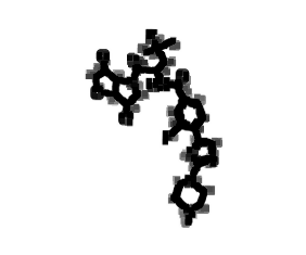 CN1CCN(c2nc(-c3ccc(C(=O)NC(CC(C)(C)F)C(=O)N4CC(Cl)C5OCC(=O)C54)cc3F)cs2)CC1